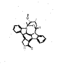 CO[C@@H]1[C@H](C)C[C@H]2O[C@]1(C)n1c3ccccc3c3c4c(c5c6ccccc6n2c5c31)C(=O)NC4